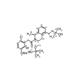 COc1ccc(Cl)c(CC(=O)N2[C@@H](CO[Si](C)(C)C(C)(C)C)Cc3c(CCC(C)(C)O)cccc3[C@@H]2C)c1F